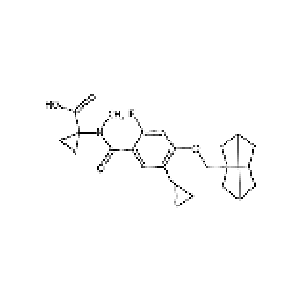 CN(C(=O)c1cc(C2CC2)c(OCC23CC4CC2CC4C3)cc1F)C1(C(=O)O)CC1